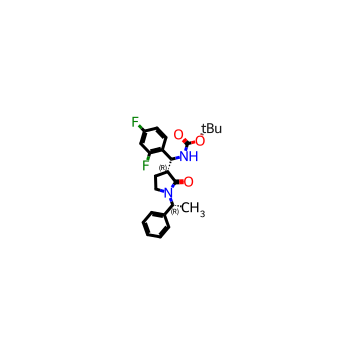 C[C@H](c1ccccc1)N1CC[C@H](C(NC(=O)OC(C)(C)C)c2ccc(F)cc2F)C1=O